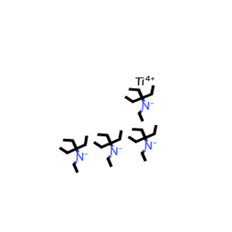 CC[N-]C(CC)(CC)CC.CC[N-]C(CC)(CC)CC.CC[N-]C(CC)(CC)CC.CC[N-]C(CC)(CC)CC.[Ti+4]